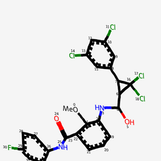 COc1c(NC(O)C2C(c3cc(Cl)cc(Cl)c3)C2(Cl)Cl)cccc1C(=O)Nc1ccc(F)cc1